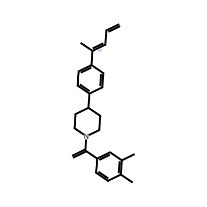 C=C/C=C(\C)c1ccc(C2CCN(C(=C)c3ccc(C)c(C)c3)CC2)cc1